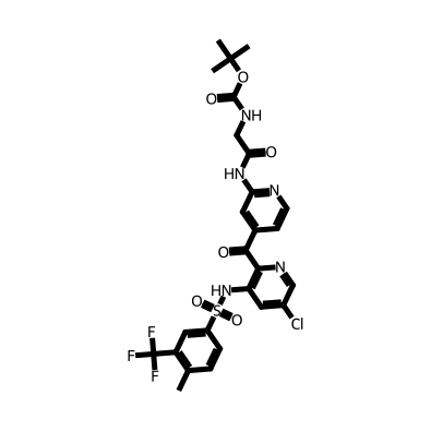 Cc1ccc(S(=O)(=O)Nc2cc(Cl)cnc2C(=O)c2ccnc(NC(=O)CNC(=O)OC(C)(C)C)c2)cc1C(F)(F)F